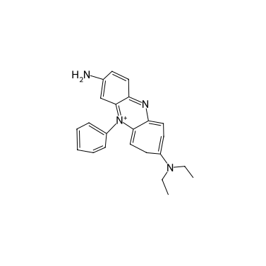 CCN(CC)C1=CC=c2nc3ccc(N)cc3[n+](-c3ccccc3)c2=CC1